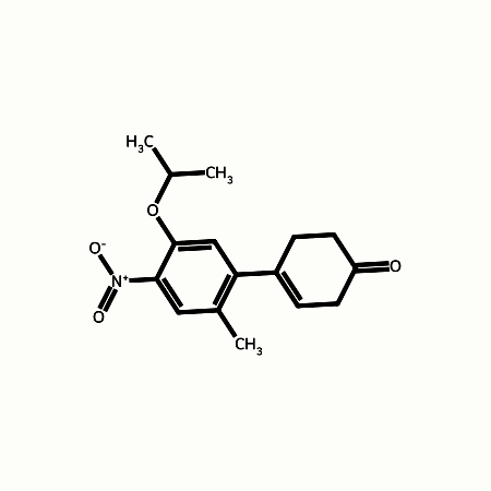 Cc1cc([N+](=O)[O-])c(OC(C)C)cc1C1=CCC(=O)CC1